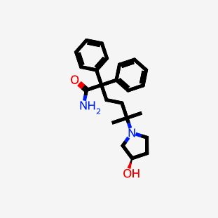 CC(C)(CCC(C(N)=O)(c1ccccc1)c1ccccc1)N1CC[C@@H](O)C1